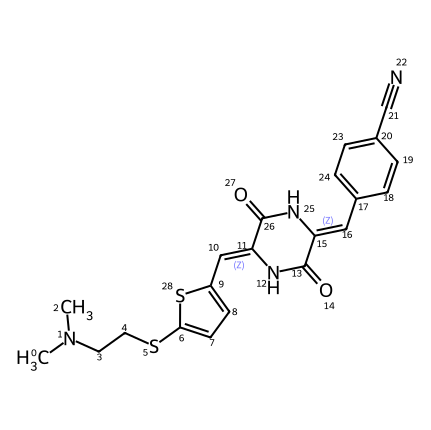 CN(C)CCSc1ccc(/C=c2\[nH]c(=O)/c(=C/c3ccc(C#N)cc3)[nH]c2=O)s1